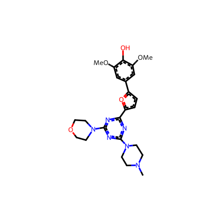 COc1cc(-c2ccc(-c3nc(N4CCOCC4)nc(N4CCN(C)CC4)n3)o2)cc(OC)c1O